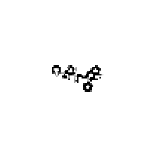 O=c1c2c(Cl)cccc2cc(CCNc2ncnc3c2ncn3[C@@H]2CCCCO2)n1-c1ccccc1